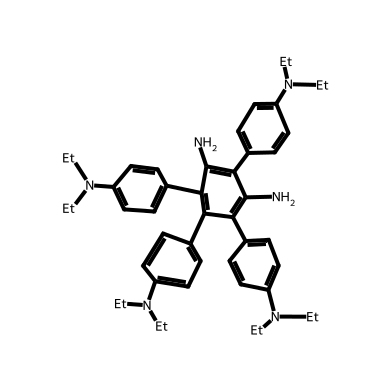 CCN(CC)c1ccc(-c2c(N)c(-c3ccc(N(CC)CC)cc3)c(-c3ccc(N(CC)CC)cc3)c(-c3ccc(N(CC)CC)cc3)c2N)cc1